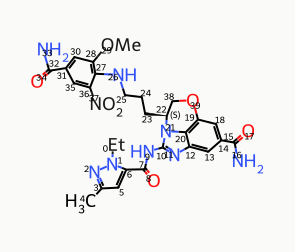 CCn1nc(C)cc1C(=O)Nc1nc2cc(C(N)=O)cc3c2n1[C@@H](CCCNc1c(OC)cc(C(N)=O)cc1[N+](=O)[O-])CO3